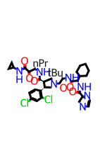 CCC[C@H](NC(=O)[C@H]1CN(C(=O)[C@@H](NC(=O)[C@@H](NC(=O)c2cnccn2)C2CCCCC2)C(C)(C)C)C[C@@H]1c1ccc(Cl)cc1Cl)C(=O)C(=O)NC1CC1